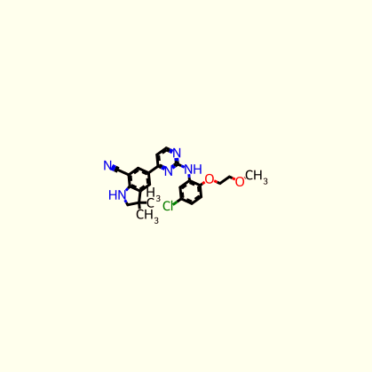 COCCOc1ccc(Cl)cc1Nc1nccc(-c2cc(C#N)c3c(c2)C(C)(C)CN3)n1